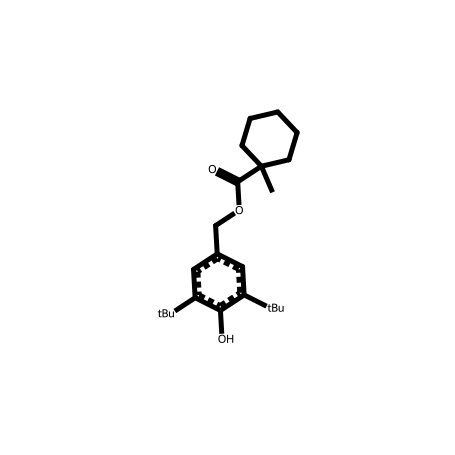 CC1(C(=O)OCc2cc(C(C)(C)C)c(O)c(C(C)(C)C)c2)CCCCC1